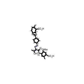 COc1cc(S(=O)(=O)O)c(C)cc1NC(=O)C(/N=N/c1ccc(-c2nc3ccc(C)c(S(=O)(=O)O)c3s2)cc1)=C(/C)O